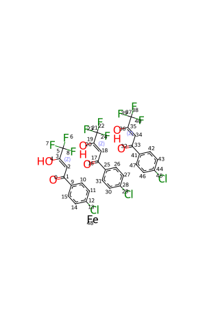 O=C(/C=C(\O)C(F)(F)F)c1ccc(Cl)cc1.O=C(/C=C(\O)C(F)(F)F)c1ccc(Cl)cc1.O=C(/C=C(\O)C(F)(F)F)c1ccc(Cl)cc1.[Fe]